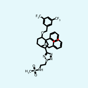 CS(=O)(=O)NCCn1nnc(C2CC3(c4ccccc4)C(OCc4cc(C(F)(F)F)cc(C(F)(F)F)c4)CCC2N3Cc2ccccc2)n1